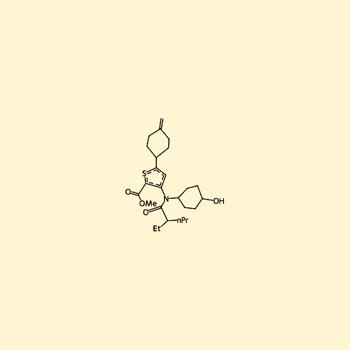 C=C1CCC(c2cc(N(C(=O)C(CC)CCC)C3CCC(O)CC3)c(C(=O)OC)s2)CC1